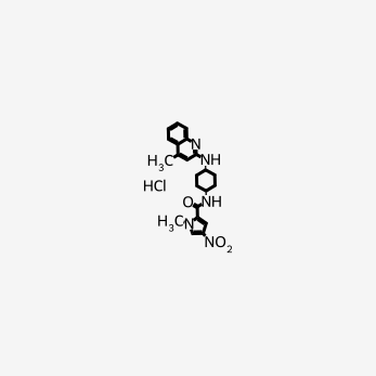 Cc1cc(N[C@H]2CC[C@@H](NC(=O)c3cc([N+](=O)[O-])cn3C)CC2)nc2ccccc12.Cl